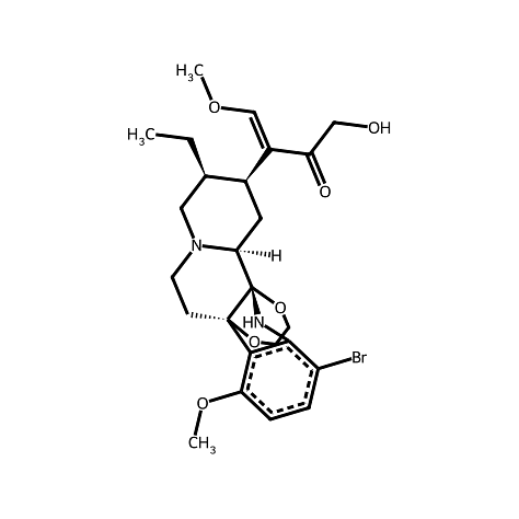 CC[C@@H]1CN2CC[C@@]34OCCO[C@@]3(Nc3c(Br)ccc(OC)c34)[C@@H]2C[C@@H]1/C(=C\OC)C(=O)CO